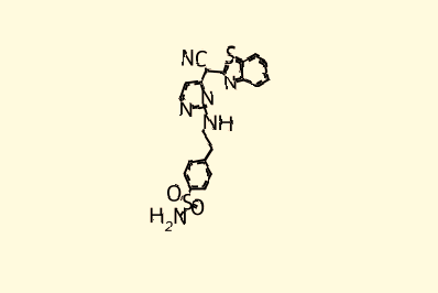 N#CC(c1ccnc(NCCc2ccc(S(N)(=O)=O)cc2)n1)c1nc2ccccc2s1